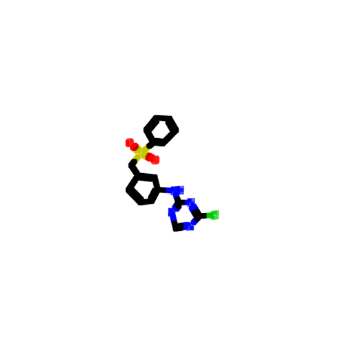 O=S(=O)(Cc1cccc(Nc2ncnc(Cl)n2)c1)c1ccccc1